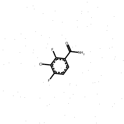 NC(=O)c1ccc(F)c(Cl)c1F